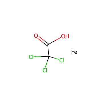 O=C(O)C(Cl)(Cl)Cl.[Fe]